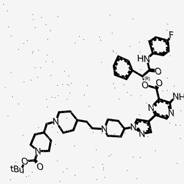 CC(C)(C)OC(=O)N1CCC(CN2CCC(CCN3CCC(n4cc(-c5cnc(N)c(C(=O)O[C@@H](C(=O)Nc6ccc(F)cc6)c6ccccc6)n5)cn4)CC3)CC2)CC1